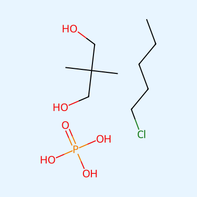 CC(C)(CO)CO.CCCCCCl.O=P(O)(O)O